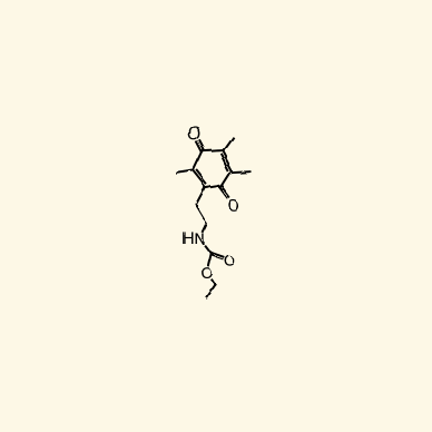 CCOC(=O)NCCC1=C(C)C(=O)C(C)=C(C)C1=O